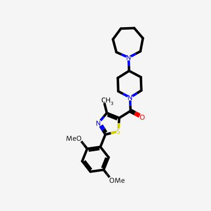 COc1ccc(OC)c(-c2nc(C)c(C(=O)N3CCC(N4CCCCCC4)CC3)s2)c1